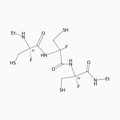 CCNC(=O)[C@@](F)(CS)NC(=O)C(F)(CS)NC(=O)[C@@](F)(CS)NCC